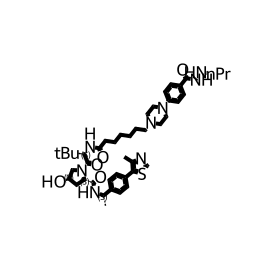 CCCNNC(=O)c1ccc(N2CCN(CCCCCCC(=O)N[C@H](C(=O)N3C[C@H](O)C[C@H]3C(=O)N[C@@H](C)c3ccc(-c4scnc4C)cc3)C(C)(C)C)CC2)cc1